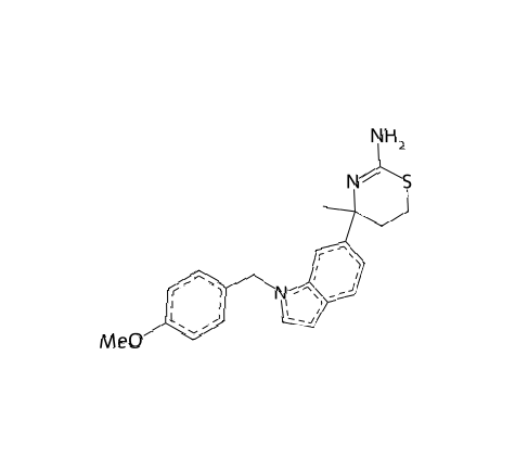 COc1ccc(Cn2ccc3ccc(C4(C)CCSC(N)=N4)cc32)cc1